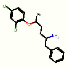 CC(C)C(CCC(N)Cc1ccccc1)Oc1ccc(Cl)cc1Cl